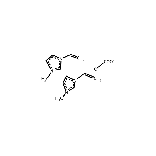 C=Cn1cc[n+](C)c1.C=Cn1cc[n+](C)c1.O=C([O-])[O-]